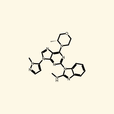 CNc1nc2ccccc2n1-c1nc(N2CCOC[C@H]2C)c2ncn(-c3ccnn3C)c2n1